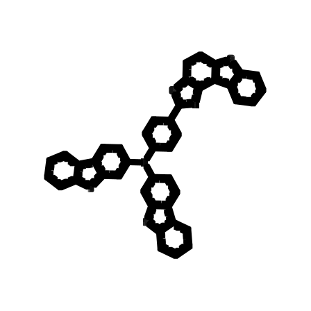 c1ccc2c(c1)oc1ccc3oc(-c4ccc(N(c5ccc6c(c5)sc5ccccc56)c5ccc6c(c5)sc5ccccc56)cc4)nc3c12